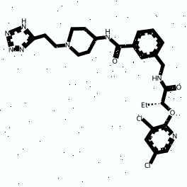 CC[C@@H](Oc1ncc(Cl)cc1Cl)C(=O)NCc1cccc(C(=O)NC2CCN(CCc3nnn[nH]3)CC2)c1